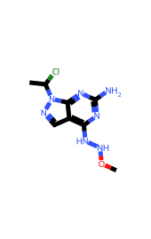 CONNc1nc(N)nc2c1cnn2C(C)Cl